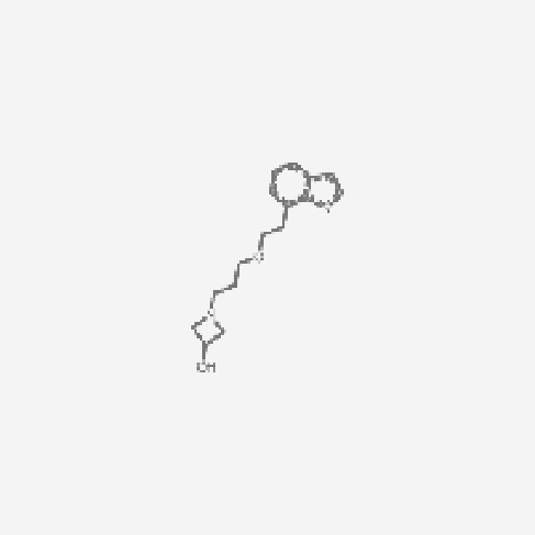 OC1CN(CCCOCCc2cccc3ccsc23)C1